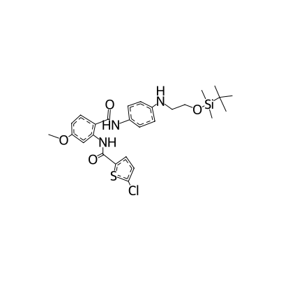 COc1ccc(C(=O)Nc2ccc(NCCO[Si](C)(C)C(C)(C)C)cc2)c(NC(=O)c2ccc(Cl)s2)c1